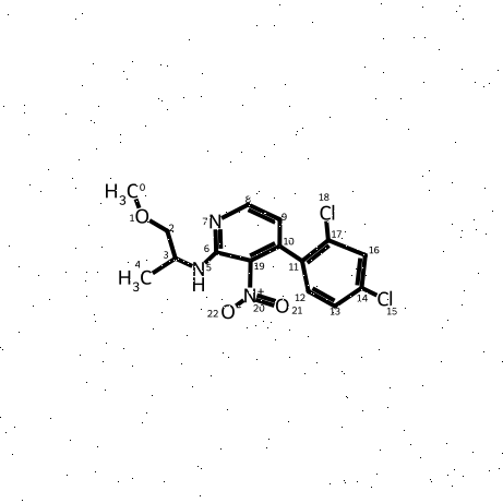 COCC(C)Nc1nccc(-c2ccc(Cl)cc2Cl)c1[N+](=O)[O-]